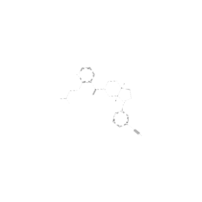 N#Cc1ccnc(N2CC[C@H]3CCN(C(=O)c4cccnc4OCC(F)F)C[C@H]32)c1